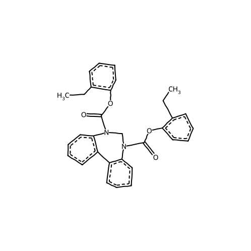 CCc1ccccc1OC(=O)N1CN(C(=O)Oc2ccccc2CC)c2ccccc2-c2ccccc21